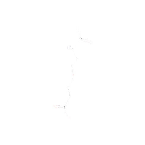 O=C(O)CCOCCNC(=O)O